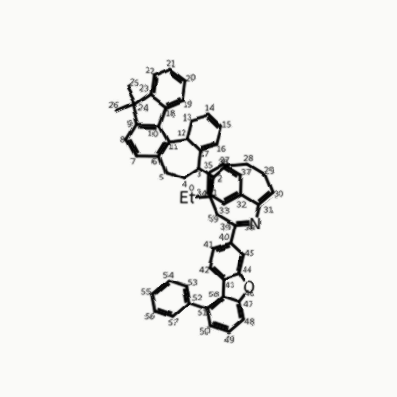 CC/C1=C(\C2CCc3ccc4c(c3C3CC=CC=C23)-c2ccccc2C4(C)C)CCC/C=C(c2ccccc2)/N=C(/c2ccc3c(c2)oc2cccc(-c4ccccc4)c23)C1